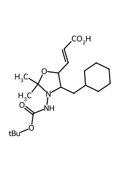 CC(C)(C)OC(=O)NN1C(CC2CCCCC2)C(/C=C/C(=O)O)OC1(C)C